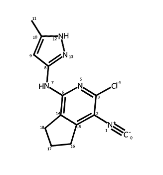 [C-]#[N+]c1c(Cl)nc(Nc2cc(C)[nH]n2)c2c1CCC2